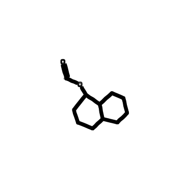 O=[C]OC1CCCC2CCCCC21